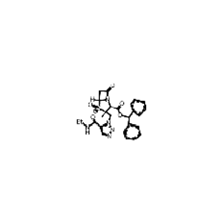 CCNC(=O)c1cnnn1C[C@@]1(C)[C@H](C(=O)OC(c2ccccc2)c2ccccc2)N2C(=O)C[C@H]2S1(=O)=O